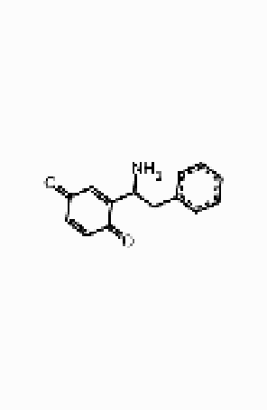 NC(Cc1ccccc1)C1=CC(=O)C=CC1=O